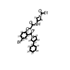 CCC(=O)N1CC(NC(=O)COc2ccc(Br)cc2C(=O)N2CC=C(c3ccccc3)C2)C1